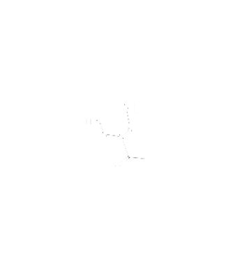 NNN(NN)C(=O)C=O